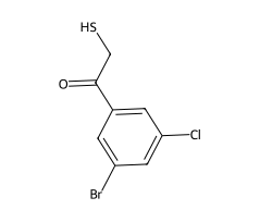 O=C(CS)c1cc(Cl)cc(Br)c1